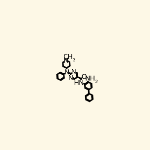 CN1CCC(N(c2ccccc2)c2ncc(C(=O)Nc3cc(-c4ccccc4)ccc3N)cn2)CC1